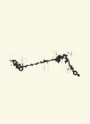 CC(C)N(CCCNC(=O)Nc1ccc(C(C)(C)C)cc1)CC1OC(n2cnc3c(NCCCCNC(=O)CCOCCOCCOCCNc4cccc5c4C(=O)N(C4CCC(=O)NC4=O)C5=O)ncnc32)C(O)C1O